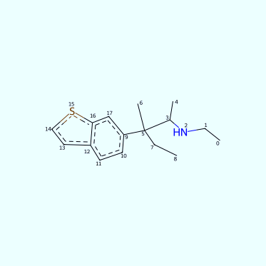 CCNC(C)C(C)(CC)c1ccc2ccsc2c1